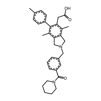 Cc1ccc(-c2c(C)c3c(c(C)c2CC(=O)O)CN(Cc2cccc(C(=O)N4CCCCC4)c2)C3)cc1